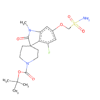 CN1C(=O)C2(CCN(C(=O)OC(C)(C)C)CC2)c2c(F)cc(OCS(N)(=O)=O)cc21